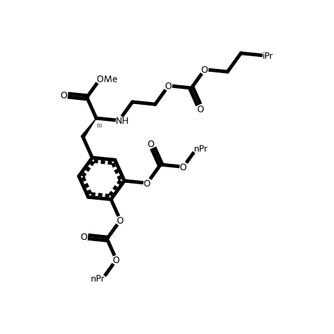 CCCOC(=O)Oc1ccc(C[C@H](NCCOC(=O)OCCC(C)C)C(=O)OC)cc1OC(=O)OCCC